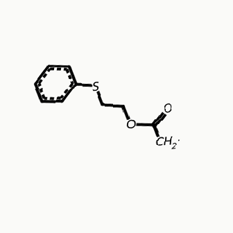 [CH2]C(=O)OCCSc1ccccc1